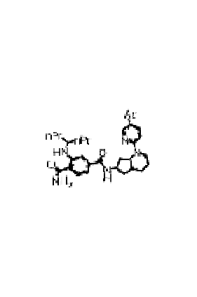 CCCC(CCC)Nc1cc(C(=O)NC2CC3CCCN(c4ccc(C(C)=O)cn4)C3C2)ccc1C(N)=O